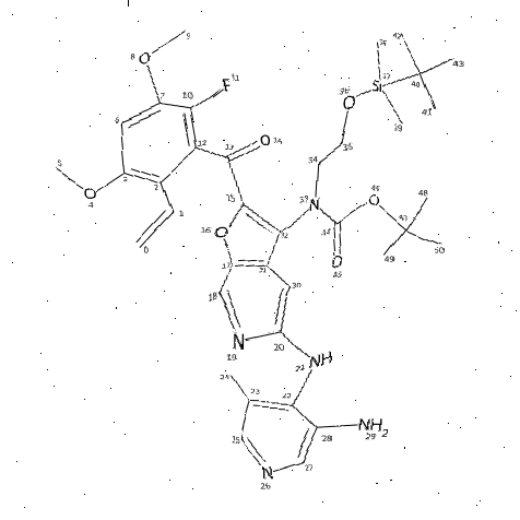 C=Cc1c(OC)cc(OC)c(F)c1C(=O)c1oc2cnc(Nc3c(C)cncc3N)cc2c1N(CCO[Si](C)(C)C(C)(C)C)C(=O)OC(C)(C)C